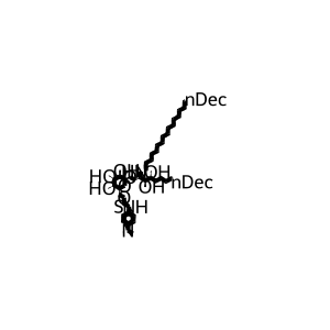 CCCCCCCCCCCCCCCCCCCCCCCCCCN[C@@H](CO[C@H]1O[C@H](COC(=S)Nc2ccc(N(C)C)cc2)[C@H](O)[C@H](O)[C@H]1O)[C@H](O)[C@H](O)CCCCCCCCCCCCCC